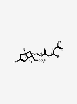 CCC1=C[C@H]2[C@@H](C1)C[C@@]2(CNC(=O)O[C@@H](OC(=O)C(C)C)C(C)C)CC(=O)O